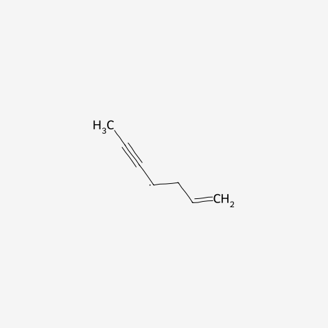 C=CC[CH]C#CC